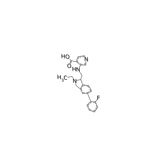 CCN1Cc2cc(-c3ccccc3F)ccc2C1CNc1cnccc1C(=O)O